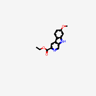 CCOC(=O)c1cc2c(cn1)[nH]c1cc(OC)ccc12